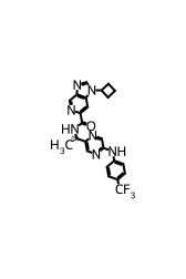 C[C@H](NC(=O)c1cc2c(cn1)ncn2C1CCC1)c1cnc(Nc2ccc(C(F)(F)F)cc2)cn1